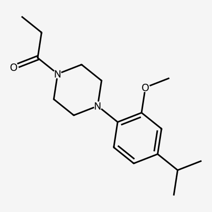 CCC(=O)N1CCN(c2ccc(C(C)C)cc2OC)CC1